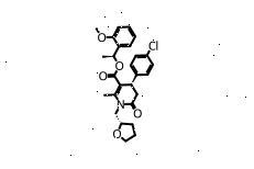 COc1ccccc1[C@H](C)OC(=O)C1=C(C)N(C[C@@H]2CCCO2)C(=O)C[C@@H]1c1ccc(Cl)cc1